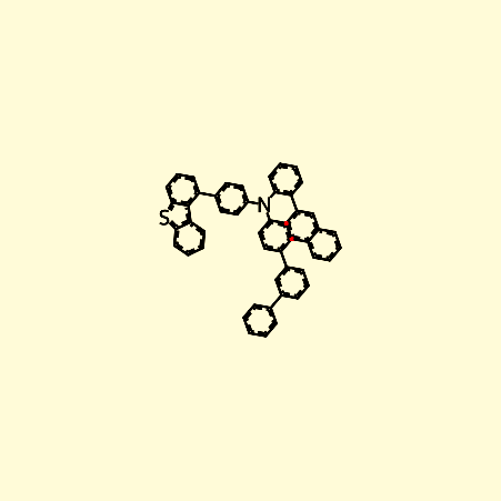 c1ccc(-c2cccc(-c3ccc(N(c4ccc(-c5cccc6sc7ccccc7c56)cc4)c4ccccc4-c4ccc5ccccc5c4)cc3)c2)cc1